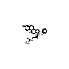 CC(=O)OCC1OC1[C@@]1(O)[C@H](c2ccccc2)CC2C3CCC4=CC(=O)C=C[C@]4(C)C3=CC[C@@]21C